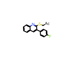 CC(=O)CSc1nc2ccccc2cc1-c1ccc(F)cc1